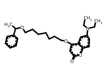 CCN(CC)c1ccc2oc(=O)cc(OCCCCCCCOC(C)c3ccccc3)c2c1